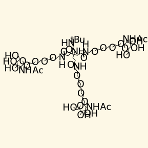 CC(=O)NC1C(OCCOCCOCCOCCNC(=O)CCC(CCC(=O)NCCOCCOCCOCCOC2OC(CO)C(O)C(O)C2NC(C)=O)(CCC(=O)NCCOCCOCCOCCOC2OC(CO)C(O)C(O)C2NC(C)=O)NC(=O)CNC(C)(C)C)OC(CO)C(O)C1O